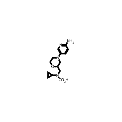 Nc1ccc(N2CCOC(CN(C(=O)O)C3CC3)C2)cn1